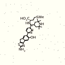 CSCC[C@H](NN(c1ccc(-c2cc3c(cc2O)-c2nc(N)sc2C3)nn1)C1CC(C)(C)NC(C)(C)C1)C(=O)O